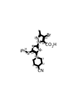 Cc1nn(-c2nc(N3CCC(C#N)CC3)c(SC(C)C)s2)c(C(=O)O)c1Br